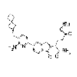 CC(C)(C)OC(=O)CCC(C(N)=O)N1Cc2cc(-c3ccc(CN4CC5(CCC5)C4)c(N)n3)ccc2C1=O